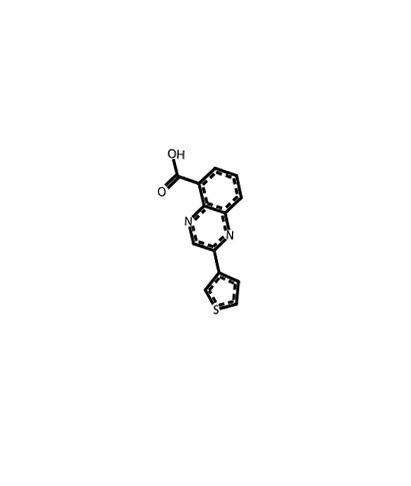 O=C(O)c1cccc2nc(-c3ccsc3)cnc12